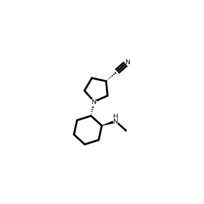 CN[C@H]1CCCC[C@@H]1N1CC[C@H](C#N)C1